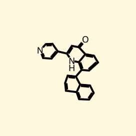 O=c1cc(-c2ccncc2)[nH]c2c(-c3cccc4ccccc34)cccc12